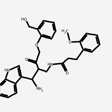 COc1ccccc1CCC(=O)NCC(C(=O)COc1ccccc1CO)C(N)c1c[nH]c2ccccc12